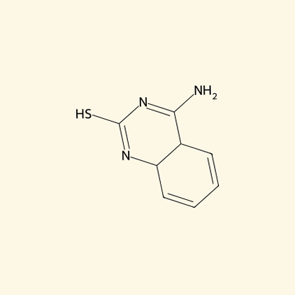 NC1=NC(S)=NC2C=CC=CC12